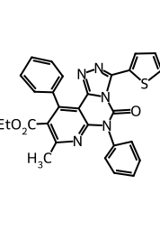 CCOC(=O)c1c(C)nc2c(c1-c1ccccc1)c1nnc(-c3cccs3)n1c(=O)n2-c1ccccc1